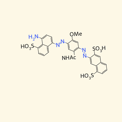 COc1cc(N=Nc2cc3c(S(=O)(=O)O)cccc3cc2S(=O)(=O)O)c(NC(C)=O)cc1N=Nc1ccc(N)c2c(S(=O)(=O)O)cccc12